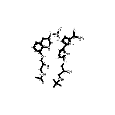 CC(C)(C)NCC(O)CSc1nc(-c2ccc(C(N)=O)s2)cs1.CC(C)NCC(O)COc1cccc2c1OCC(O[N+](=O)[O-])C2